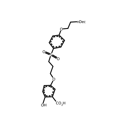 CCCCCCCCCCCCOc1ccc(S(=O)(=O)CCCOc2ccc(O)c(C(=O)O)c2)cc1